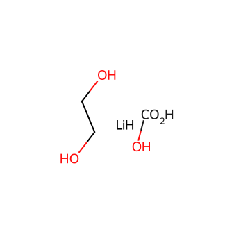 O=C(O)O.OCCO.[LiH]